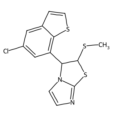 CSC1Sc2nccn2C1c1cc(Cl)cc2ccsc12